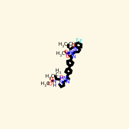 COC(=O)N[C@@H](CC(C)C)C(=O)N1C(c2nc(-c3ccc(-c4ccc(-c5cnc([C@@H]6CCCN6C(=O)[C@@H](NC(=O)OC)C(C)C)[nH]5)cc4)cc3)c[nH]2)CCC12CCC(F)(F)CC2